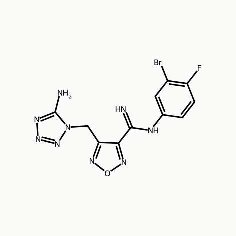 N=C(Nc1ccc(F)c(Br)c1)c1nonc1Cn1nnnc1N